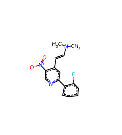 CN(C)/C=C/c1cc(-c2ccccc2F)ncc1[N+](=O)[O-]